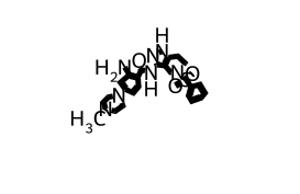 CN1CCN(c2ccc(C(=O)Nc3n[nH]c4c3CN(S(=O)(=O)c3ccccc3)CC4)c(N)c2)CC1